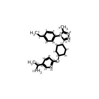 CCc1ccc(-n2c(C)nnc2[C@H]2CC[C@H](Oc3ccc(C(C)P)cn3)CC2)cc1